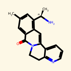 Cc1cc([C@@H](C)N)c2cc3n(c(=O)c2c1)CCc1ncccc1-3